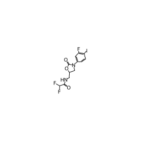 O=C(NCC1CN(c2ccc(I)c(F)c2)C(=O)O1)C(F)F